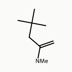 C=C(CC(C)(C)C)NC